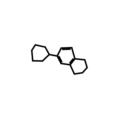 c1cc2c(cc1C1CCCCC1)CCCC2